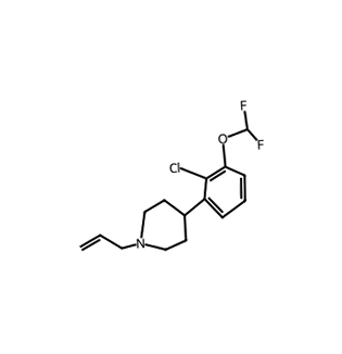 C=CCN1CCC(c2cccc(OC(F)F)c2Cl)CC1